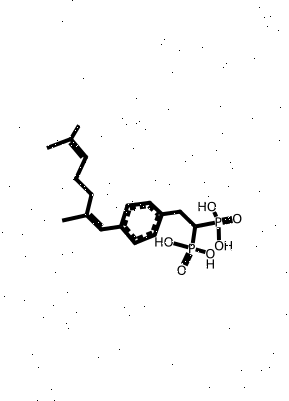 CC(C)=CCCC(C)=Cc1ccc(CC(P(=O)(O)O)P(=O)(O)O)cc1